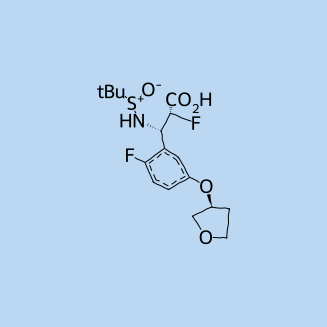 CC(C)(C)[S+]([O-])N[C@@H](c1cc(O[C@H]2CCOC2)ccc1F)[C@@H](F)C(=O)O